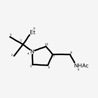 CCC(C)(C)N1CCC(CNC(C)=O)C1